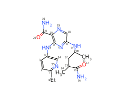 CCc1ccc(Nc2nc(NC(C)CC(C)C(N)=O)cnc2C(N)=O)cn1